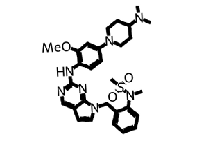 COc1cc(N2CCC(N(C)C)CC2)ccc1Nc1ncc2ccn(Cc3ccccc3N(C)S(C)(=O)=O)c2n1